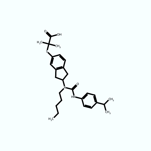 CCCCCN(C(=O)Nc1ccc(C(C)C)cc1)C1Cc2ccc(SC(C)(C)C(=O)O)cc2C1